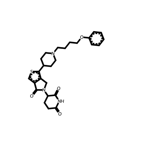 O=C1CCC(N2Cc3c(csc3C3CCN(CCCCOc4ccccc4)CC3)C2=O)C(=O)N1